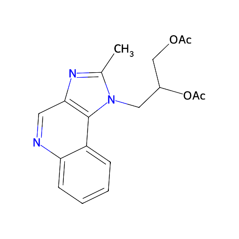 CC(=O)OCC(Cn1c(C)nc2cnc3ccccc3c21)OC(C)=O